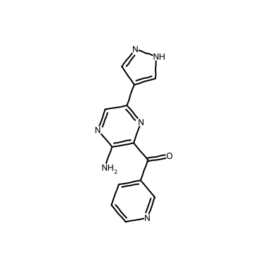 Nc1ncc(-c2cn[nH]c2)nc1C(=O)c1cccnc1